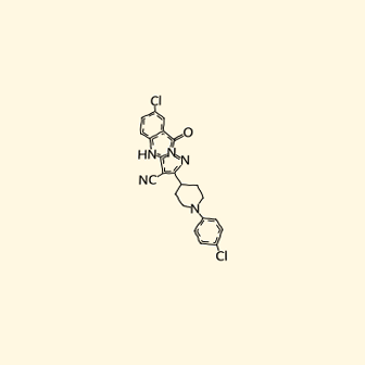 N#Cc1c(C2CCN(c3ccc(Cl)cc3)CC2)nn2c(=O)c3cc(Cl)ccc3[nH]c12